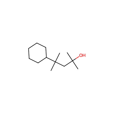 CC(C)(O)CC(C)(C)C1CCCCC1